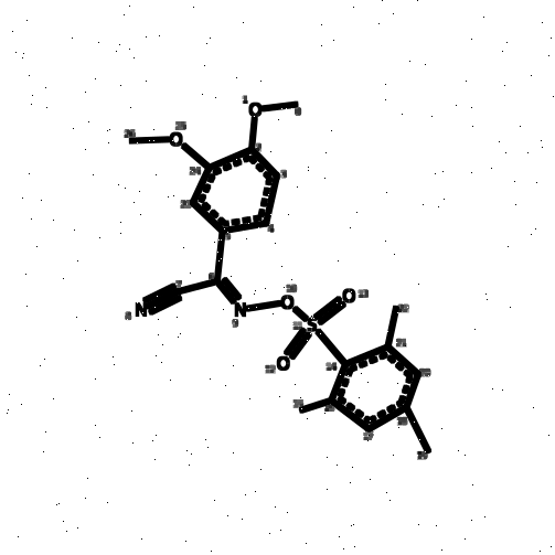 COc1ccc(/C(C#N)=N\OS(=O)(=O)c2c(C)cc(C)cc2C)cc1OC